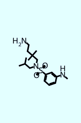 CNc1cccc(S(=O)(=O)N(CC(C)C)CC(C)(C)CCN)c1